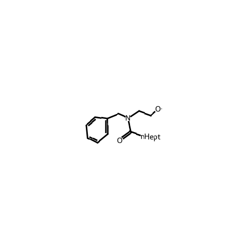 CCCCCCCC(=O)N(CC[O])Cc1ccccc1